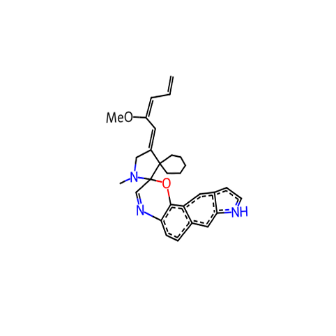 C=C/C=C(\C=C1/CN(C)C2(C=Nc3ccc4cc5[nH]ccc5cc4c3O2)C12CCCCC2)OC